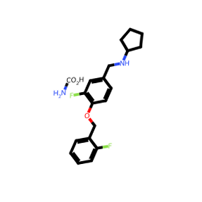 Fc1ccccc1COc1ccc(CNC2CCCC2)cc1F.NC(=O)O